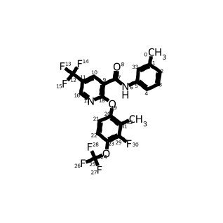 Cc1cccc(NC(=O)c2cc(C(F)(F)F)cnc2Oc2ccc(OC(F)(F)F)c(F)c2C)c1